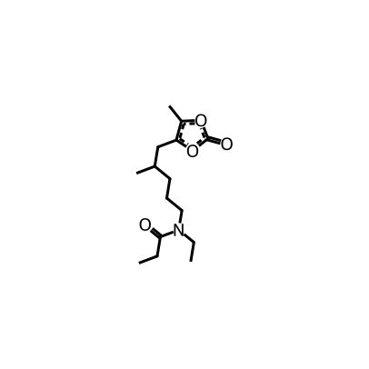 CCC(=O)N(CC)CCCC(C)Cc1oc(=O)oc1C